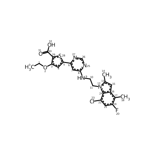 CCOc1cc(-c2cc(NCCn3c(C)cc4c(C)c(F)cc(Cl)c43)ncn2)sc1C(=O)O